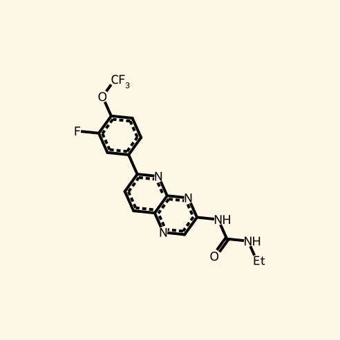 CCNC(=O)Nc1cnc2ccc(-c3ccc(OC(F)(F)F)c(F)c3)nc2n1